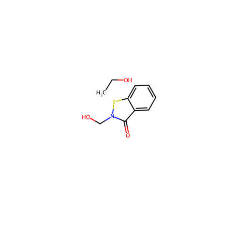 CCO.O=c1c2ccccc2sn1CO